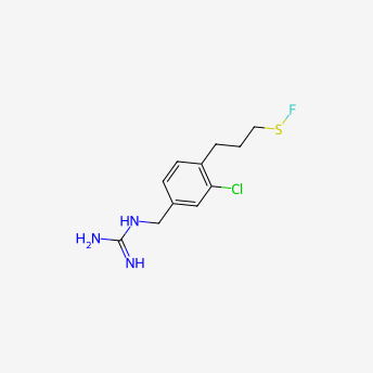 N=C(N)NCc1ccc(CCCSF)c(Cl)c1